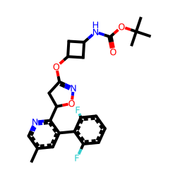 Cc1cnc(C2CC(OC3CC(NC(=O)OC(C)(C)C)C3)=NO2)c(-c2c(F)cccc2F)c1